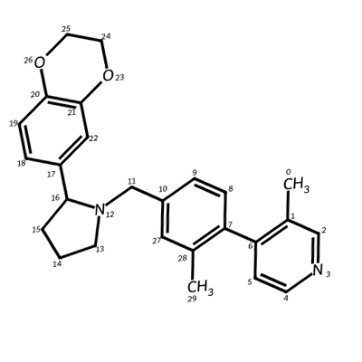 Cc1cnccc1-c1ccc(CN2CCCC2c2ccc3c(c2)OCCO3)cc1C